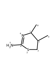 CC1CSC(N)=NC1C